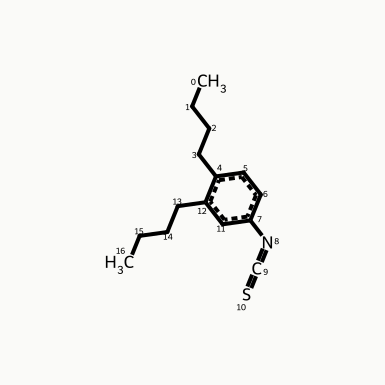 CCCCc1ccc(N=C=S)cc1CCCC